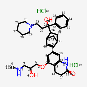 CC(C)(C)NCC(O)COc1cccc2c1CCC(=O)N2.Cl.Cl.OC(CCN1CCCCC1)(c1ccccc1)C1CC2C=CC1C2